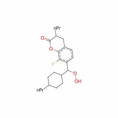 CCCC1CCC(C(OO)c2ccc3c(c2F)OC(=O)C(CCC)C3)CC1